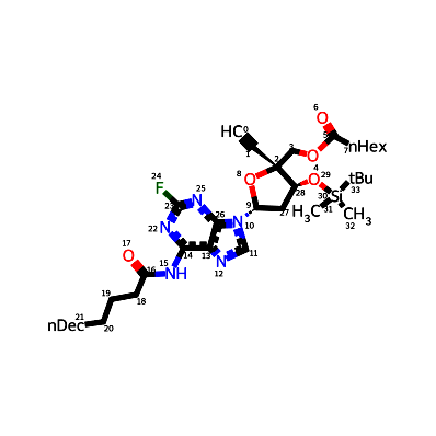 C#C[C@]1(COC(=O)CCCCCC)O[C@@H](n2cnc3c(NC(=O)CCCCCCCCCCCCC)nc(F)nc32)C[C@@H]1O[Si](C)(C)C(C)(C)C